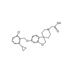 O=C(O)CN1CCC2(CC1)COc1cc(OCc3c(Cl)cccc3C3CC3)ccc12